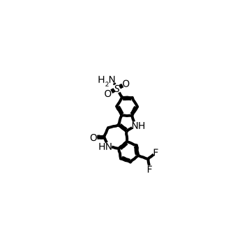 NS(=O)(=O)c1ccc2[nH]c3c(c2c1)CC(=O)Nc1ccc(C(F)F)cc1-3